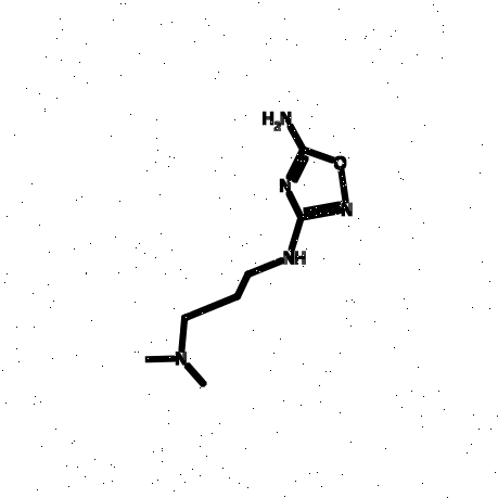 CN(C)CCCNc1noc(N)n1